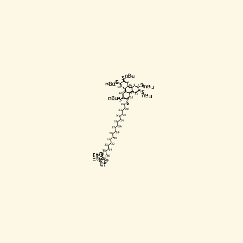 CCCCSc1cc2c3cc(SCCCC)c(SCCCC)cc3c3cc(SCCCCCCCCCCCCCCCCCC[Si](OCC)(OCC)OCC)c(SCCCC)cc3c2cc1SCCCC